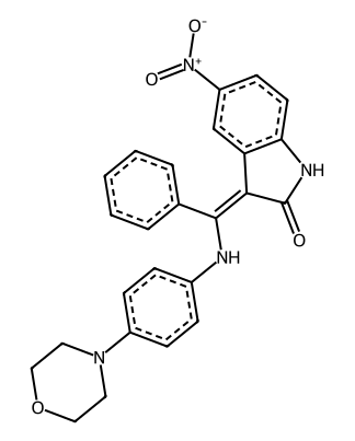 O=C1Nc2ccc([N+](=O)[O-])cc2/C1=C(/Nc1ccc(N2CCOCC2)cc1)c1ccccc1